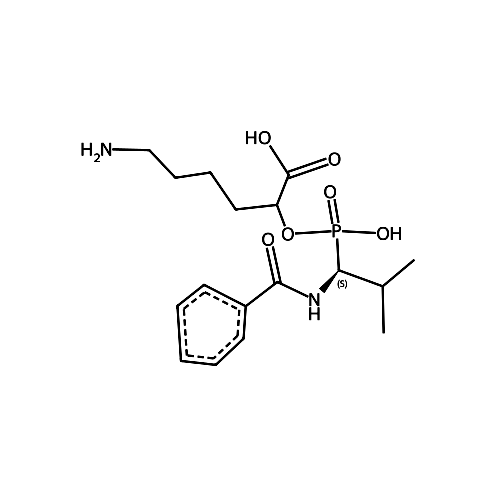 CC(C)[C@@H](NC(=O)c1ccccc1)P(=O)(O)OC(CCCCN)C(=O)O